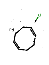 C1=CCCC=CCC1.CCl.[Pd]